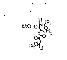 CCOC(=O)C(NC(=O)C(C)C)C(C)SC(=O)C(=O)CC(=O)OC(C)C